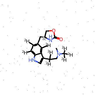 [2H]c1c(C[C@H]2COC(=O)N2)c([2H])c2c(C([2H])([2H])CN(C)C([2H])([2H])[2H])c[nH]c2c1[2H]